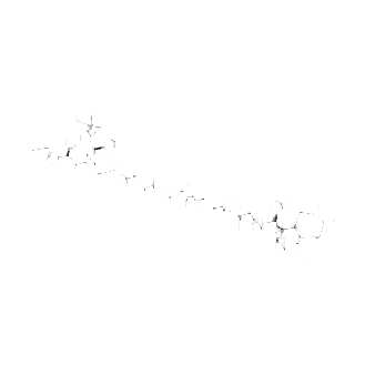 CCOC(=O)CN(CCOCCOCCOCCOCCNC(=O)[C@H](N)C1CCCCC1)C(=O)OC(C)(C)C